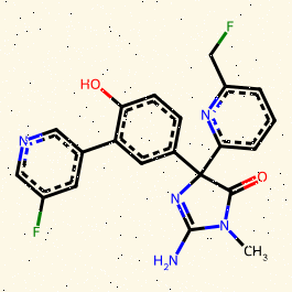 CN1C(=O)C(c2ccc(O)c(-c3cncc(F)c3)c2)(c2cccc(CF)n2)N=C1N